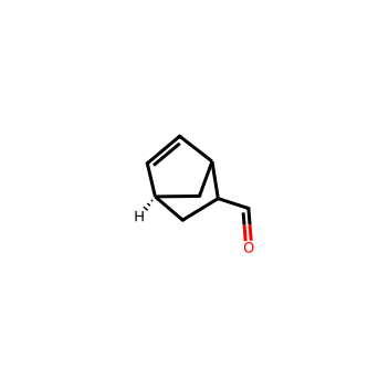 O=CC1C[C@H]2C=CC1C2